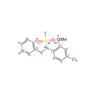 COc1cc(Cl)ccc1N(Cc1cccnc1)S(C)(=O)=O